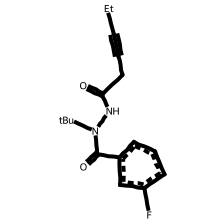 CCC#CCC(=O)NN(C(=O)c1cccc(F)c1)C(C)(C)C